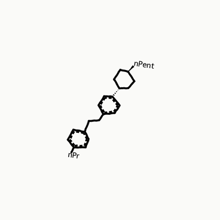 CCCCC[C@H]1CC[C@H](c2ccc(CCc3ccc(CCC)cc3)cc2)CC1